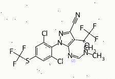 CN(C)/C=N\c1c(C(=O)C(F)(F)F)c(C#N)nn1-c1c(Cl)cc(SC(F)(F)F)cc1Cl